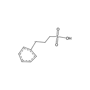 O=S(=O)(O)CC[CH]c1ccccc1